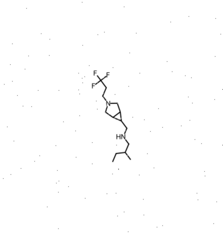 CCC(C)CNCC1C2CN(CCC(F)(F)F)CC12